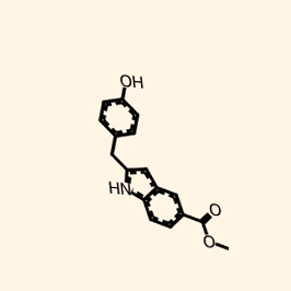 COC(=O)c1ccc2[nH]c(Cc3ccc(O)cc3)cc2c1